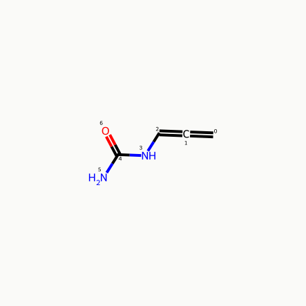 C=C=CNC(N)=O